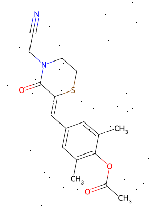 CC(=O)Oc1c(C)cc(C=C2SCCN(CC#N)C2=O)cc1C